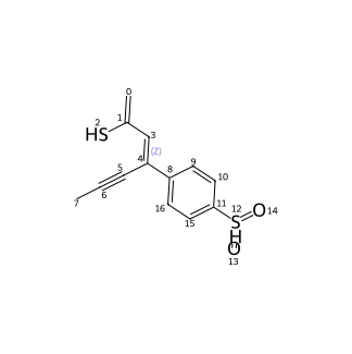 C=C(S)/C=C(\C#CC)c1ccc([SH](=O)=O)cc1